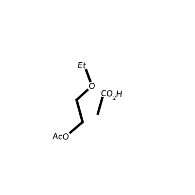 CC(=O)O.CCOCCOC(C)=O